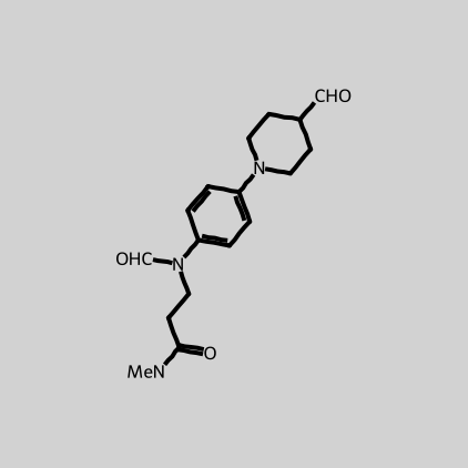 CNC(=O)CCN(C=O)c1ccc(N2CCC(C=O)CC2)cc1